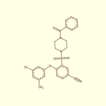 Cc1cc(Cl)cc(Oc2ccc(C#N)cc2S(=O)(=O)N2CCN(C(=O)c3ccccc3)CC2)c1